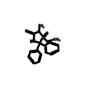 COP1(=O)N(C)C(=O)NC1(c1ccccc1)c1ccccc1